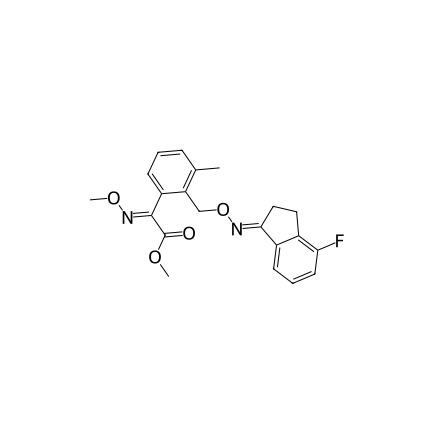 CO/N=C(/C(=O)OC)c1cccc(C)c1CO/N=C1\CCc2c(F)cccc21